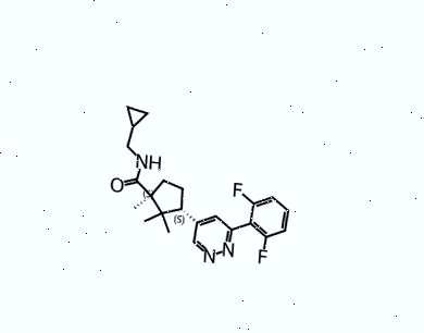 CC1(C)[C@@H](c2cnnc(-c3c(F)cccc3F)c2)CC[C@]1(C)C(=O)NCC1CC1